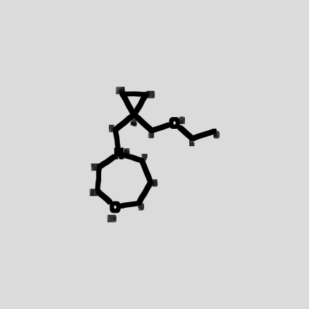 CCOCC1(CN2CCCOCC2)CC1